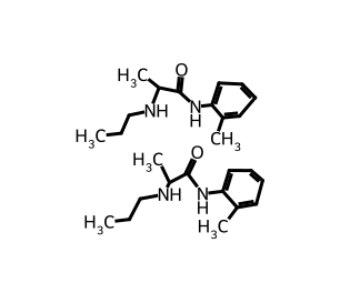 CCCNC(C)C(=O)Nc1ccccc1C.CCCNC(C)C(=O)Nc1ccccc1C